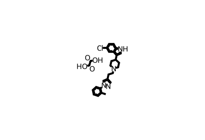 Cc1ccccc1-n1cc(CCN2CCC(c3c[nH]c4ccc(Cl)cc34)CC2)cn1.O=C(O)C(=O)O